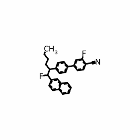 CCCCC(c1ccc(-c2ccc(C#N)c(F)c2)cc1)C(F)c1ccc2ccccc2c1